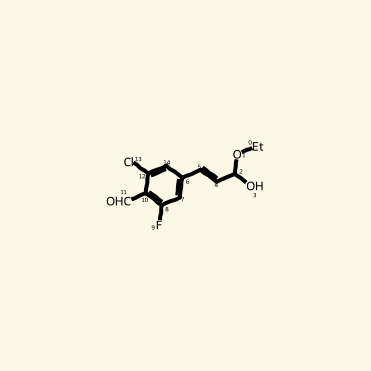 CCOC(O)/C=C/c1cc(F)c(C=O)c(Cl)c1